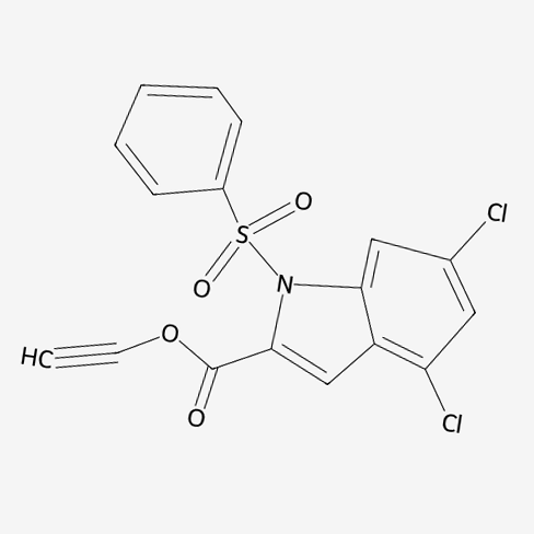 C#COC(=O)c1cc2c(Cl)cc(Cl)cc2n1S(=O)(=O)c1ccccc1